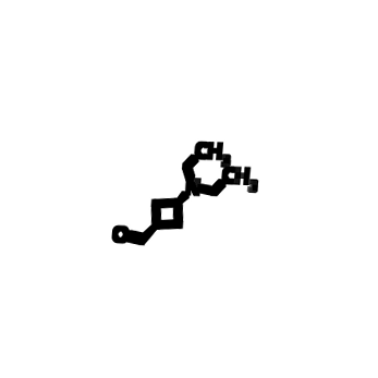 CCN(CC)[C@H]1C[C@@H](C=O)C1